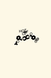 CC(C)COc1ccccc1CN1CCC2(CC1)CCN(C(=O)c1ccc([N+](=O)[O-])cc1)CC2.O=C(O)C(F)(F)F